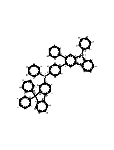 c1ccc(-c2cc3c(cc2-c2ccc(N(c4ccccc4)c4ccc5c(c4)C(c4ccccc4)(c4ccccc4)c4ccccc4-5)cc2)c2ccccc2n3-c2ccccc2)cc1